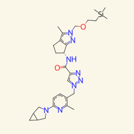 Cc1nc(N2CC3CC3C2)ccc1Cn1cc(C(=O)N[C@@H]2CCc3c2nn(COCC[Si](C)(C)C)c3C)nn1